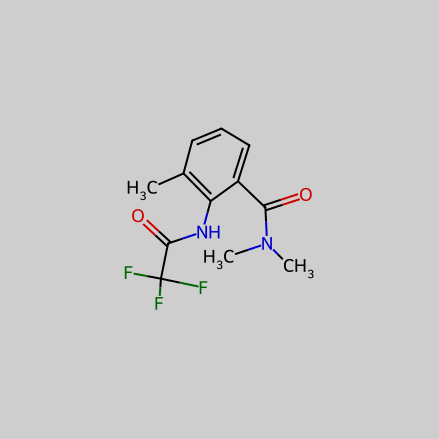 Cc1cccc(C(=O)N(C)C)c1NC(=O)C(F)(F)F